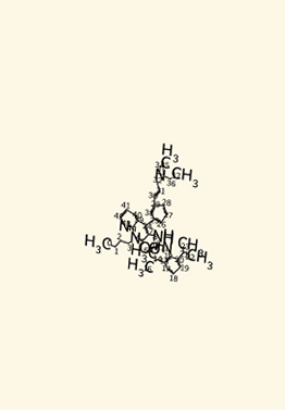 CCCCn1c(=O)c(NC(=O)Nc2c(C(C)C)cccc2C(C)C)c(-c2cccc(/C=C/CN(CC)CC)c2)c2cccnc21